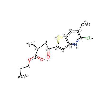 COCCOC(=O)[C@@H](C)CC(=O)c1cc2nc(Cl)c(OC)cc2s1